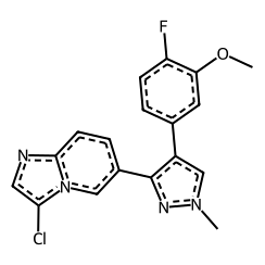 COc1cc(-c2cn(C)nc2-c2ccc3ncc(Cl)n3c2)ccc1F